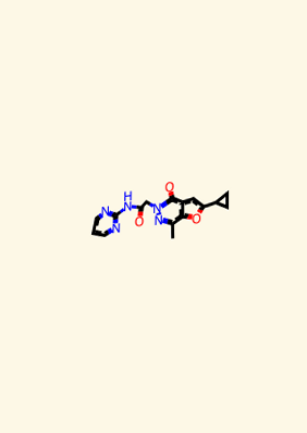 Cc1nn(CC(=O)Nc2ncccn2)c(=O)c2cc(C3CC3)oc12